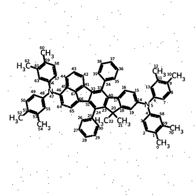 Cc1ccc(N(c2ccc(C)c(C)c2)c2ccc3c(c2)C(C)(C)c2c(-c4ccccc4)c4c(c(-c5ccccc5)c2-3)-c2cccc3c(N(c5ccc(C)c(C)c5)c5ccc(C)c(C)c5)ccc-4c23)cc1C